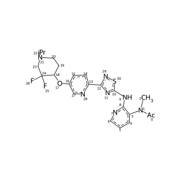 CC(=O)N(C)c1cccnc1Nc1nc(-c2ccc(OC3CCN(C(C)C)CC3(F)F)cn2)ns1